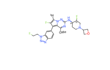 [2H]c1c(F)c(-c2ccc3nnn(CCF)c3c2)c2c(OC)nc(N[C@@H]3CCN(C4COC4)C[C@@H]3F)nn12